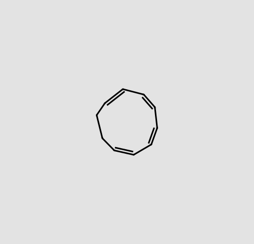 C1=C\C=C/CC/C=C\C=C/1